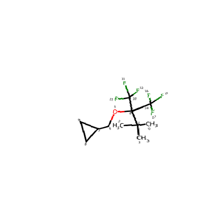 CC(C)(C)C(OCC1CC1)(C(F)(F)F)C(F)(F)F